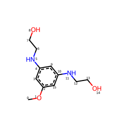 COc1cc(NCCO)cc(NCCO)c1